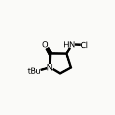 CC(C)(C)N1CCC(NCl)C1=O